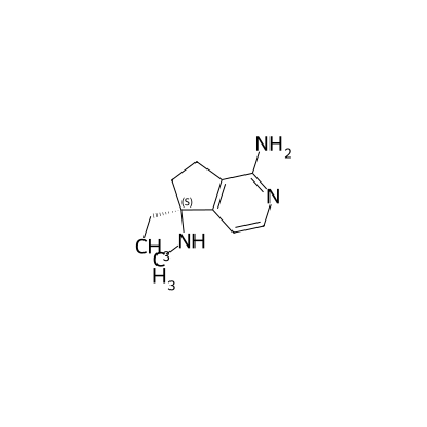 CC[C@]1(NC)CCc2c1ccnc2N